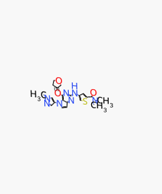 CN(C)C(=O)c1cc(Nc2nc(O[C@H]3CCOC3)c3c(ccn3-c3cnn(C)c3)n2)cs1